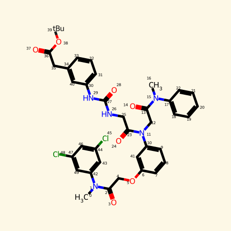 CN(C(=O)COc1cccc(N(CC(=O)N(C)c2ccccc2)C(=O)CNC(=O)Nc2cccc(CC(=O)OC(C)(C)C)c2)c1)c1cc(Cl)cc(Cl)c1